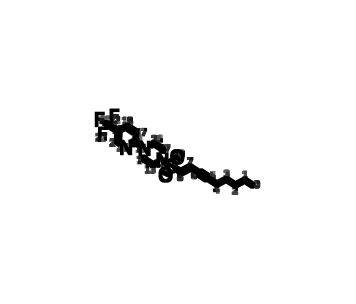 CCCCCC#CC=CS(=O)(=O)N1CCN(c2ccc(C(F)(F)F)cn2)CC1